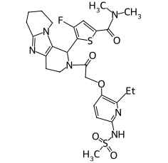 CCc1nc(NS(C)(=O)=O)ccc1OCC(=O)N1CCc2nc3n(c2C1c1sc(C(=O)N(C)C)cc1F)CCCC3